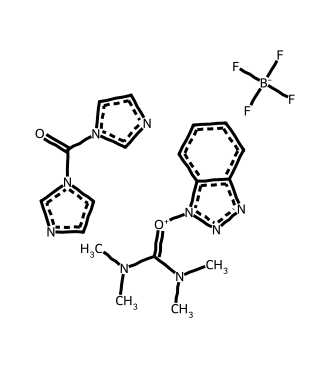 CN(C)C(=[O+]n1nnc2ccccc21)N(C)C.F[B-](F)(F)F.O=C(n1ccnc1)n1ccnc1